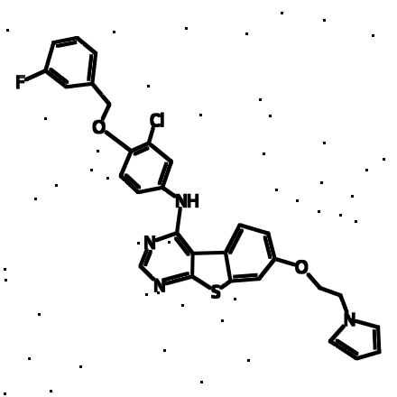 Fc1cccc(COc2ccc(Nc3ncnc4sc5cc(OCCn6cccc6)ccc5c34)cc2Cl)c1